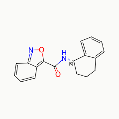 O=C(N[C@H]1CCCc2ccccc21)c1onc2ccccc12